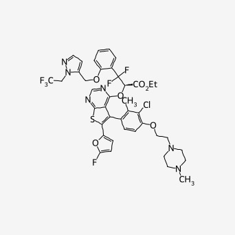 CCOC(=O)[C@@H](Oc1ncnc2sc(-c3ccc(F)o3)c(-c3ccc(OCCN4CCN(C)CC4)c(Cl)c3C)c12)C(F)(F)c1ccccc1OCc1ccnn1CC(F)(F)F